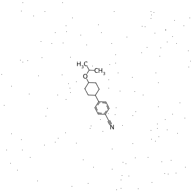 CC(C)OC1CCC(c2ccc(C#N)cc2)CC1